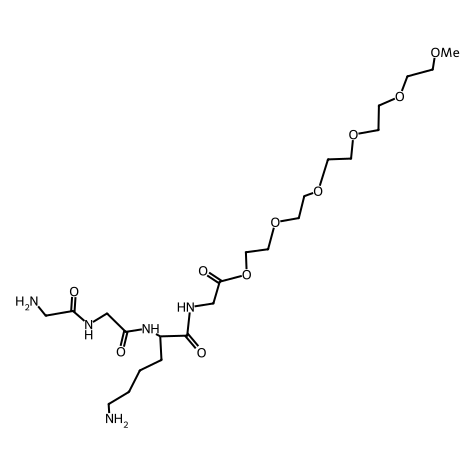 COCCOCCOCCOCCOCCOC(=O)CNC(=O)C(CCCCN)NC(=O)CNC(=O)CN